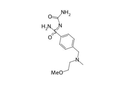 COCCN(C)Cc1ccc(S(N)(=O)=NC(N)=O)cc1